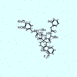 CCC(C)[C@H](NC(=O)Cc1ccccc1F)C(=O)N[C@]1(C(=O)NC(C(=O)NCc2ccc(OC)c(O)c2)[C@@H](C)CC)CCc2[nH]c3c(C(F)(F)F)cccc3c2C1